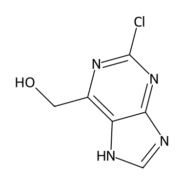 OCc1nc(Cl)nc2nc[nH]c12